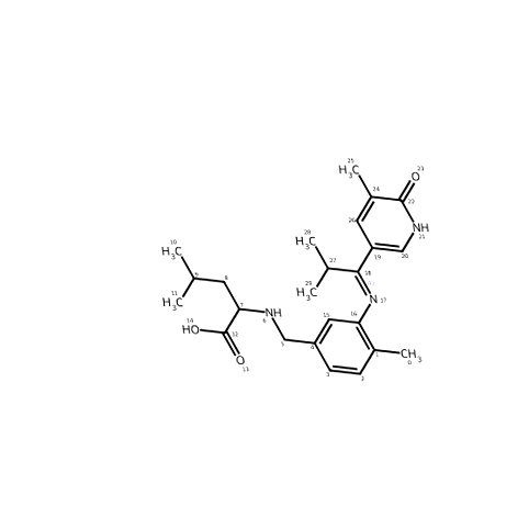 Cc1ccc(CNC(CC(C)C)C(=O)O)cc1/N=C(/c1c[nH]c(=O)c(C)c1)C(C)C